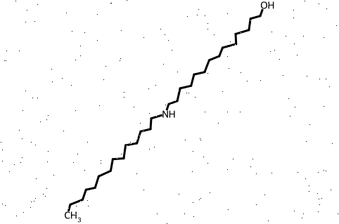 CCCCCCCCCCCCCCNCCCCCCCCCCCCCCO